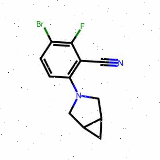 N#Cc1c(N2CC3CC3C2)ccc(Br)c1F